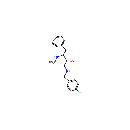 O=C(O)N[C@@H](Cc1ccccc1)[C@@H](O)CNCc1ccc(F)cc1